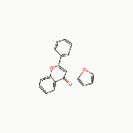 O=c1cc(-c2ccccc2)oc2ccccc12.c1ccoc1